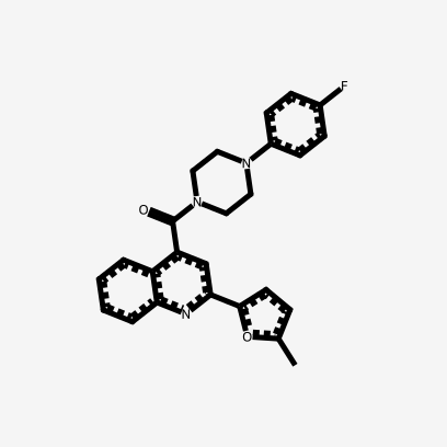 Cc1ccc(-c2cc(C(=O)N3CCN(c4ccc(F)cc4)CC3)c3ccccc3n2)o1